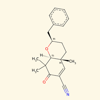 CC1(C)C(=O)C(C#N)=C[C@@]2(C)CC[C@H](Cc3ccccc3)O[C@H]12